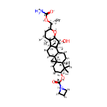 CC(C)[C@@H](OC(N)=O)C1C[C@@H](C)[C@H]2C(O1)[C@H](O)[C@@]1(C)C3CC[C@H]4C(C)(C)[C@@H](OC(=O)N5CCC5)CCC45C[C@@]35CC[C@]21C